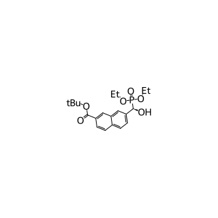 CCOP(=O)(OCC)[C@@H](O)c1ccc2ccc(C(=O)OC(C)(C)C)cc2c1